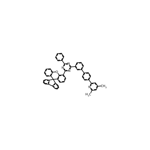 Cc1cc(C)nc(-c2ccc(-c3cccc(-c4nc(-c5ccccc5)nc(-c5cccc6c5Oc5ccccc5C65c6ccccc6-c6ccccc65)n4)c3)cc2)c1